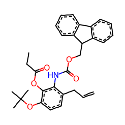 C=CCc1ccc(OC(C)(C)C)c(OC(=O)CC)c1NC(=O)OCC1c2ccccc2-c2ccccc21